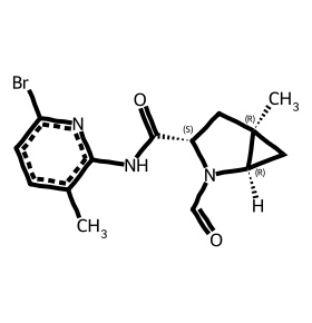 Cc1ccc(Br)nc1NC(=O)[C@@H]1C[C@@]2(C)C[C@H]2N1C=O